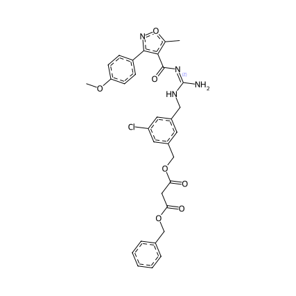 COc1ccc(-c2noc(C)c2C(=O)/N=C(/N)NCc2cc(Cl)cc(COC(=O)CC(=O)OCc3ccccc3)c2)cc1